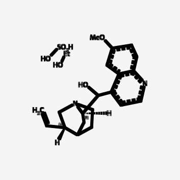 C=C[C@@H]1CN2CCC1C[C@@H]2C(O)c1ccnc2ccc(OC)cc12.CCO.O=S(=O)(O)O